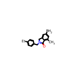 Bc1cc(C)c2c(c1)CN(Cc1ccc(CC)cc1)C2=O